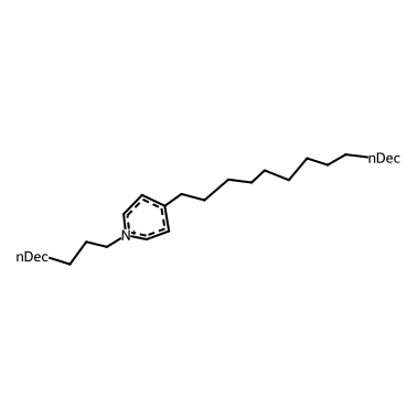 CCCCCCCCCCCCCCCCCCCc1cc[n+](CCCCCCCCCCCCC)cc1